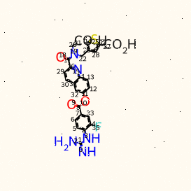 N=C(N)Nc1ccc(C(=O)Oc2ccc3nc(C(=O)N(CC(=O)O)Cc4csc(C(=O)O)c4)ccc3c2)cc1F